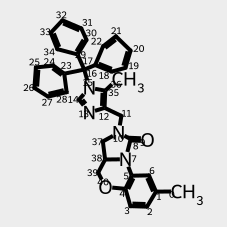 Cc1ccc2c(c1)N1C(=O)N(Cc3ncn(C(c4ccccc4)(c4ccccc4)c4ccccc4)c3C)CC1CO2